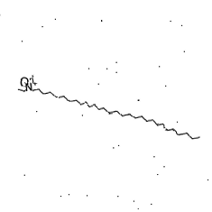 CCCCCCCCCCCCCCCCCCCCCCCCCCCCCC[N+]([O-])(CC)CC